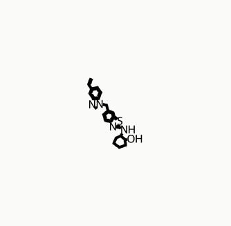 C=Cc1ccc2c(c1)ncn2Cc1ccc2nc(NC3CCCCC3O)sc2c1